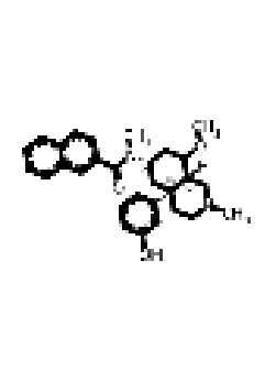 COC1C[C@@H](N(C)C(=O)c2ccc3ccccc3c2)C[C@]2(c3cccc(O)c3)CCN(C)C[C@@H]12